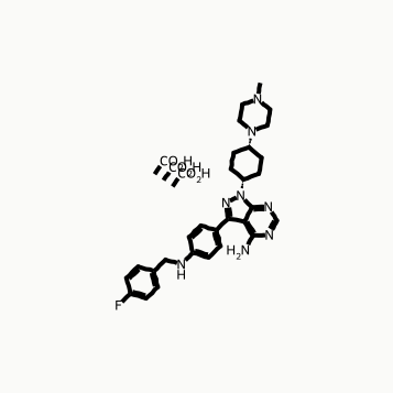 CC(=O)O.CC(=O)O.CC(=O)O.CN1CCN([C@H]2CC[C@@H](n3nc(-c4ccc(NCc5ccc(F)cc5)cc4)c4c(N)ncnc43)CC2)CC1